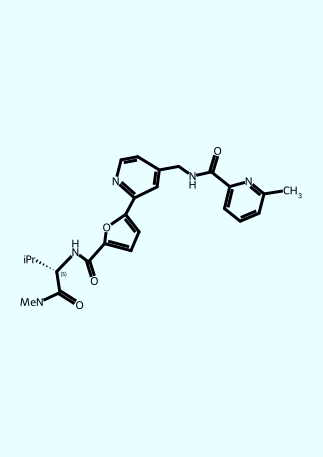 CNC(=O)[C@@H](NC(=O)c1ccc(-c2cc(CNC(=O)c3cccc(C)n3)ccn2)o1)C(C)C